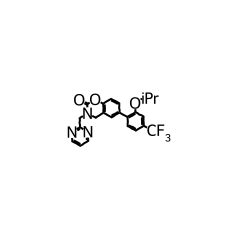 CC(C)Oc1cc(C(F)(F)F)ccc1-c1ccc2c(c1)CN(Cc1ncccn1)C(=O)O2